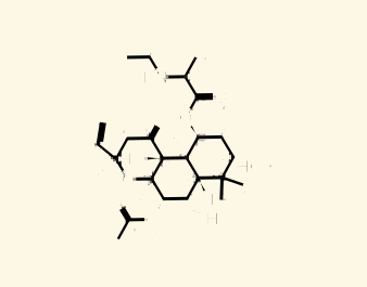 C=C[C@@]1(C)CC(=O)[C@]2(O)[C@@]3(C)[C@@H](OC(=O)C(C)NCC)CCC(C)(C)[C@@H]3[C@H](O)[C@H](OC(C)=O)[C@@]2(C)O1.Cl